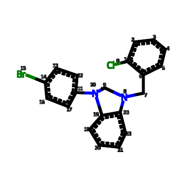 Clc1ccccc1CN1[CH]N(c2ccc(Br)cc2)c2ccccc21